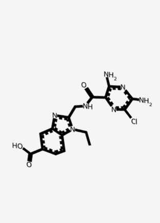 CCn1c(CNC(=O)c2nc(Cl)c(N)nc2N)nc2cc(C(=O)O)ccc21